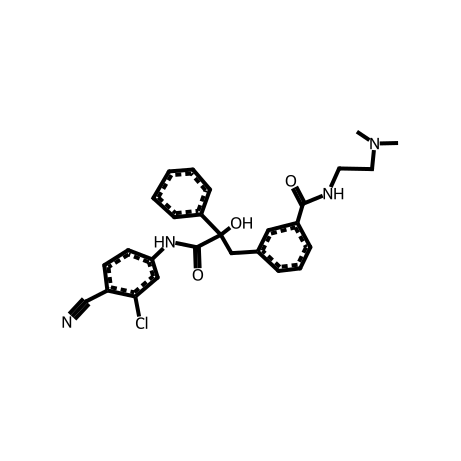 CN(C)CCNC(=O)c1cccc(CC(O)(C(=O)Nc2ccc(C#N)c(Cl)c2)c2ccccc2)c1